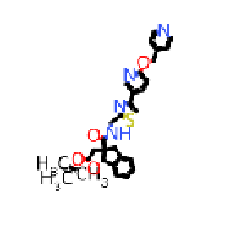 CC(C)(C)OC(=O)CC1(C(=O)NCc2nc(-c3ccc(OCc4ccncc4)nc3)cs2)Cc2ccccc2C1